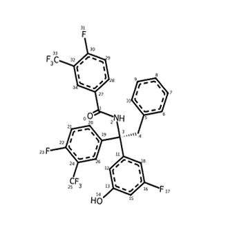 O=C(N[C@@](Cc1ccccc1)(c1cc(O)cc(F)c1)c1ccc(F)c(C(F)(F)F)c1)c1ccc(F)c(C(F)(F)F)c1